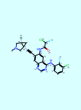 CN1C[C@H]2C[C@@]2(C#Cc2cc3ncnc(Nc4cccc(Cl)c4F)c3cc2NC(=O)C(F)Cl)C1